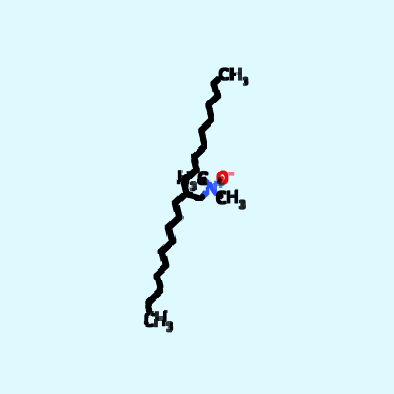 CCCCCCCCCCC(CCCCCCCCCC)C[N+](C)(C)[O-]